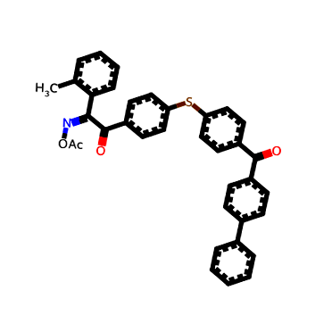 CC(=O)O/N=C(\C(=O)c1ccc(Sc2ccc(C(=O)c3ccc(-c4ccccc4)cc3)cc2)cc1)c1ccccc1C